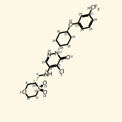 O=c1c(Cl)c(NC[C@H]2COCCS2(=O)=O)cnn1[C@H]1CC[C@H](Oc2cccc(C(F)(F)F)c2)CC1